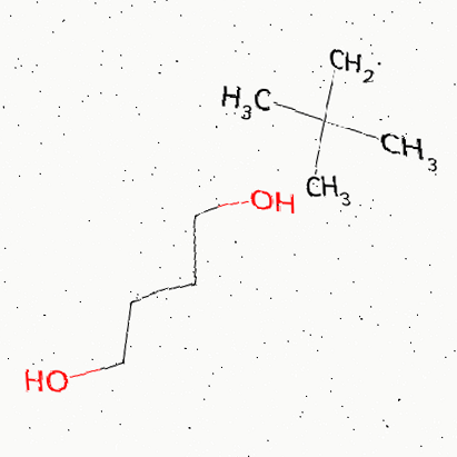 OCCCCO.[CH2]C(C)(C)C